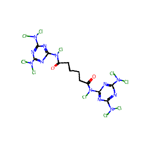 O=C(CCCCC(=O)N(Cl)c1nc(N(Cl)Cl)nc(N(Cl)Cl)n1)N(Cl)c1nc(N(Cl)Cl)nc(N(Cl)Cl)n1